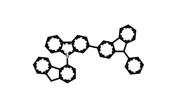 c1ccc(C2c3ccccc3-c3cc(-c4ccc5c6ccccc6n(-c6cccc7c6-c6ccccc6C7)c5c4)ccc32)cc1